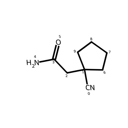 N#CC1(CC(N)=O)CCCC1